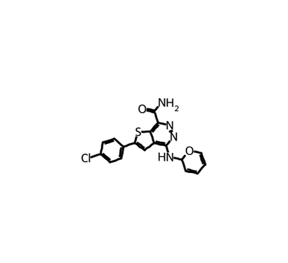 NC(=O)c1nnc(NC2C=CC=CO2)c2cc(-c3ccc(Cl)cc3)sc12